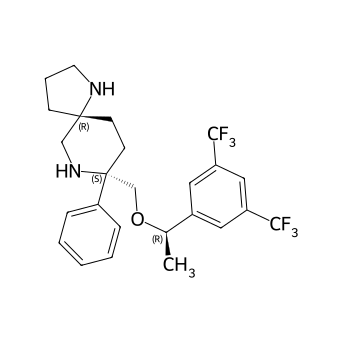 C[C@@H](OC[C@@]1(c2ccccc2)CC[C@]2(CCCN2)CN1)c1cc(C(F)(F)F)cc(C(F)(F)F)c1